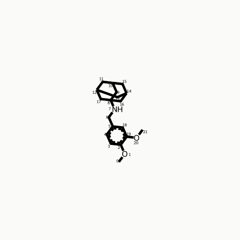 COc1ccc(CNC23CC4CC(CC(C4)C2)C3)cc1OC